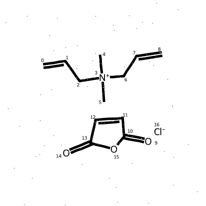 C=CC[N+](C)(C)CC=C.O=C1C=CC(=O)O1.[Cl-]